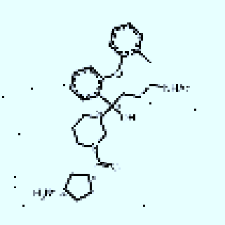 CC(=O)NCCC[C@@](O)(c1ccccc1Oc1ccccc1C)[C@@H]1CCCN(C(=O)[C@@H]2CC[C@H](N)C2)C1